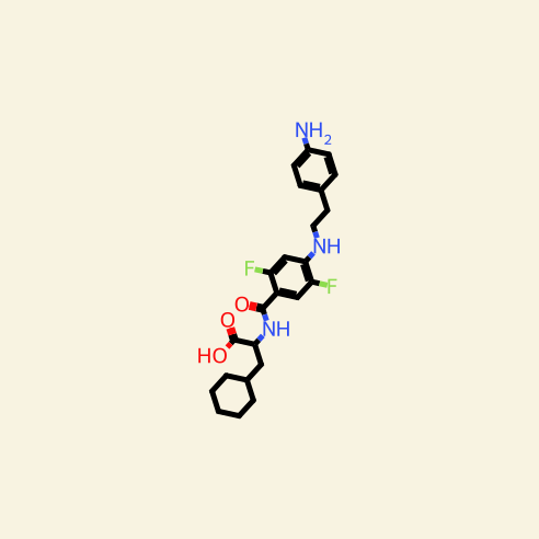 Nc1ccc(CCNc2cc(F)c(C(=O)NC(CC3CCCCC3)C(=O)O)cc2F)cc1